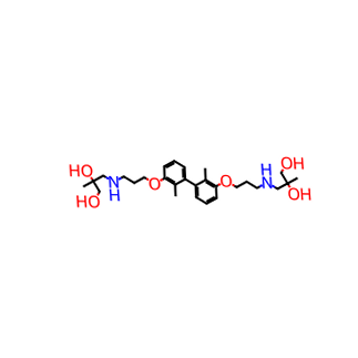 Cc1c(OCCCNCC(C)(O)CO)cccc1-c1cccc(OCCCNCC(C)(O)CO)c1C